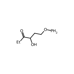 CCC(=O)C(O)CCOP